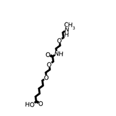 CNCCOCCNC(=O)COCCOCCCCCC(=O)O